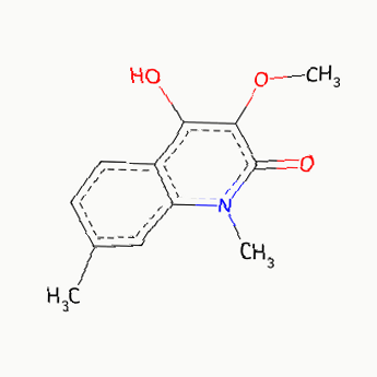 COc1c(O)c2ccc(C)cc2n(C)c1=O